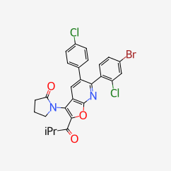 CC(C)C(=O)c1oc2nc(-c3ccc(Br)cc3Cl)c(-c3ccc(Cl)cc3)cc2c1N1CCCC1=O